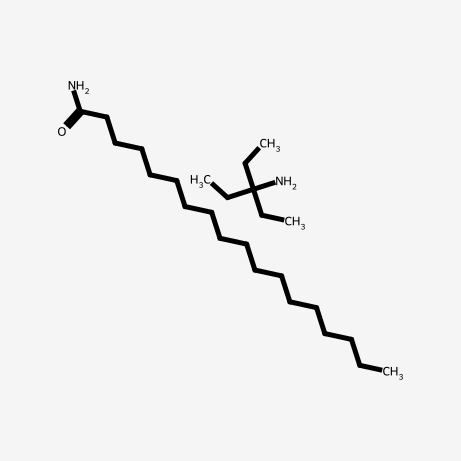 CCC(N)(CC)CC.CCCCCCCCCCCCCCCCCC(N)=O